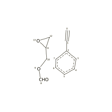 C#Cc1ccccc1.O=COCC1CO1